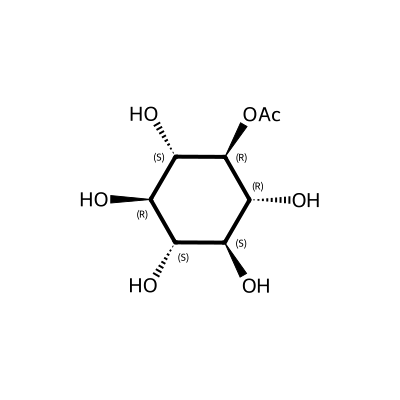 CC(=O)O[C@H]1[C@H](O)[C@@H](O)[C@H](O)[C@@H](O)[C@@H]1O